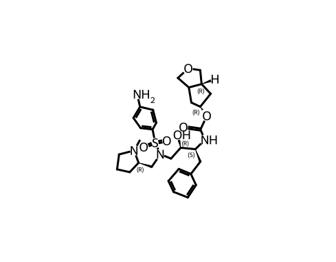 CN1CCC[C@@H]1CN(C[C@@H](O)[C@H](Cc1ccccc1)NC(=O)O[C@@H]1CC2COC[C@@H]2C1)S(=O)(=O)c1ccc(N)cc1